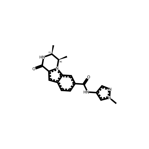 C[C@@H]1NC(=O)c2cc3ccc(C(=O)Nc4cnn(C)c4)cc3n2[C@@H]1C